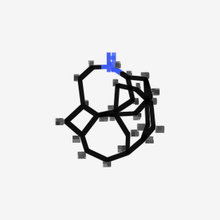 C1CCC2CC3NCCC4CC5CCC6CC(CCC3CC6C1)C245